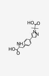 CC(C)(C(=O)O)n1cc(-c2ccc(C[C@H](N)C(=O)O)cc2)cn1